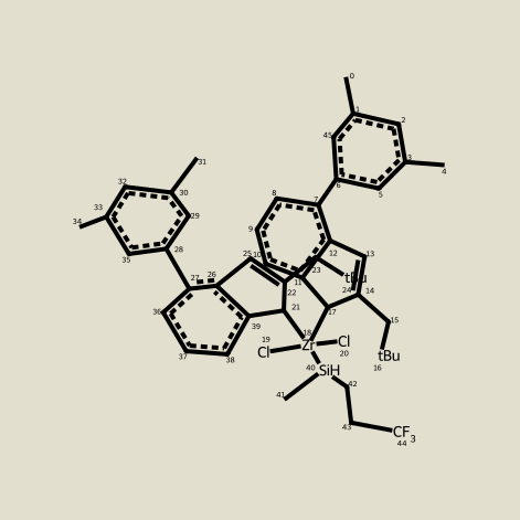 Cc1cc(C)cc(-c2cccc3c2C=C(CC(C)(C)C)[CH]3[Zr]([Cl])([Cl])([CH]2C(CC(C)(C)C)=Cc3c(-c4cc(C)cc(C)c4)cccc32)[SiH](C)CCC(F)(F)F)c1